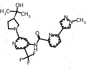 Cn1cc(-c2cccc(C(=O)Nc3cc(N4CC[C@@H](C(C)(C)O)C4)ncc3C(F)(F)F)n2)cn1